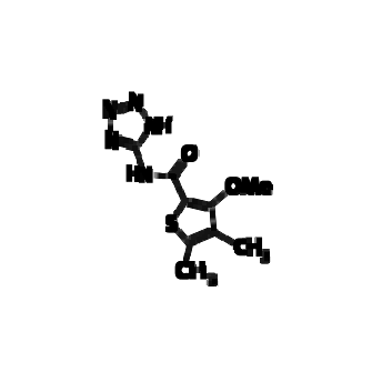 COc1c(C(=O)Nc2nnn[nH]2)sc(C)c1C